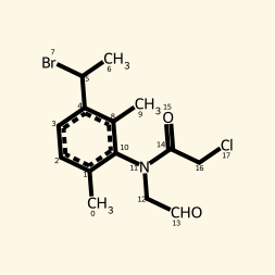 Cc1ccc(C(C)Br)c(C)c1N(CC=O)C(=O)CCl